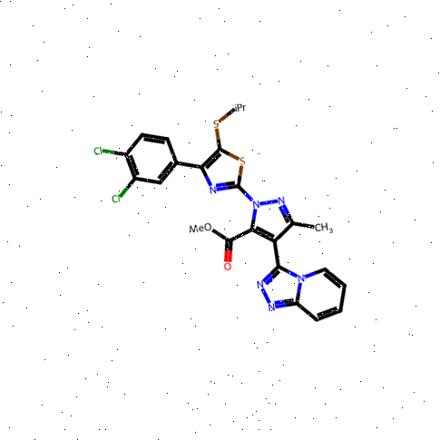 COC(=O)c1c(-c2nnc3ccccn23)c(C)nn1-c1nc(-c2ccc(Cl)c(Cl)c2)c(SC(C)C)s1